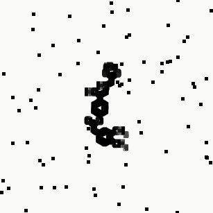 Cc1ccc(CC(=O)Oc2ccc(C(O)CNCC(=O)OC(C)(C)C)cc2)cc1C